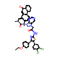 CCOc1ccc(-c2nc(NC(=O)CN3CN(C4(C)C(=O)C(C)C=c5c4ccc4c5=CC(=O)c5ccccc5-4)c4ncncc43)sc2-c2ccc(Cl)c(Cl)c2)cc1